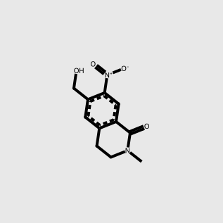 CN1CCc2cc(CO)c([N+](=O)[O-])cc2C1=O